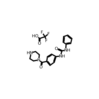 O=C(Nc1ccccc1)Nc1ccc(C(=O)N2CCNCC2)cc1.O=C(O)C(F)(F)F